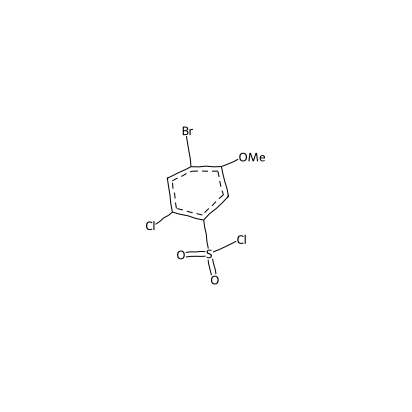 COc1cc(S(=O)(=O)Cl)c(Cl)cc1Br